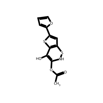 CC(=O)OC1=C(O)c2sc(-c3ccco3)cc2SN1